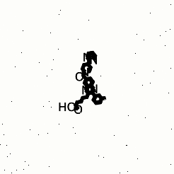 CC1C=CC=C(c2nc3ccc(C(=O)N4CCC(c5ncccn5)CC4)cc3nc2CCCCC(=O)O)C1